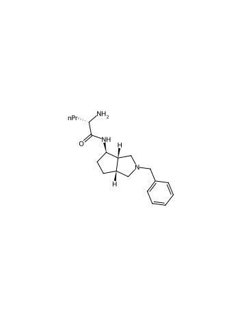 CCC[C@H](N)C(=O)N[C@@H]1CC[C@H]2CN(Cc3ccccc3)C[C@H]21